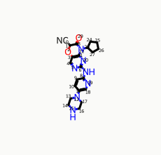 N#CC1Oc2cnc(Nc3ccc(N4CCNCC4)cn3)nc2N(C2CCCC2)C1=O